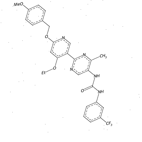 CCOc1cc(OCc2ccc(OC)cc2)ncc1-c1ncc(NC(=O)Nc2cccc(C(F)(F)F)c2)c(C)n1